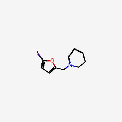 Ic1ccc(CN2CCCCC2)o1